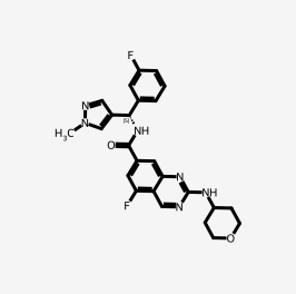 Cn1cc([C@@H](NC(=O)c2cc(F)c3cnc(NC4CCOCC4)nc3c2)c2cccc(F)c2)cn1